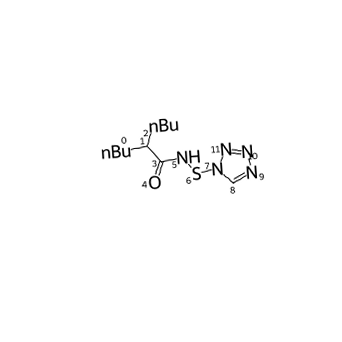 CCCCC(CCCC)C(=O)NSn1cnnn1